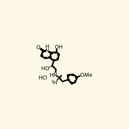 Cl.[2H][C@@](C)(Cc1ccc(OC)cc1)NC[C@H](O)c1ccc(O)c2[nH]c(=O)ccc12